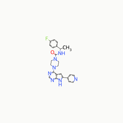 CC(NC(=O)N1CCN(c2ncnc3[nH]c(-c4ccncc4)cc23)CC1)c1ccc(F)cc1